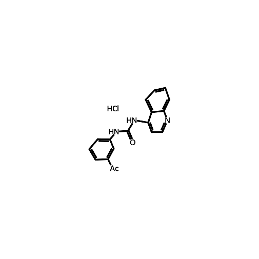 CC(=O)c1cccc(NC(=O)Nc2ccnc3ccccc23)c1.Cl